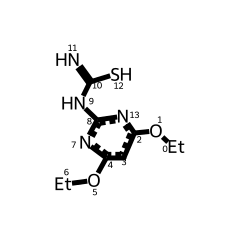 CCOc1cc(OCC)nc(NC(=N)S)n1